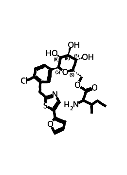 CCC(C)C(N)C(=O)OC[C@@H]1O[C@@H](c2ccc(Cl)c(Cc3ncc(-c4ccco4)s3)c2)[C@H](O)[C@@H](O)[C@@H]1O